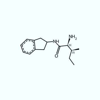 CC[C@H](C)[C@H](N)C(=O)NC1Cc2ccccc2C1